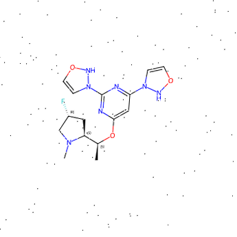 C[C@H](Oc1cc(N2C=CON2)nc(N2C=CON2)n1)[C@@H]1C[C@@H](F)CN1C